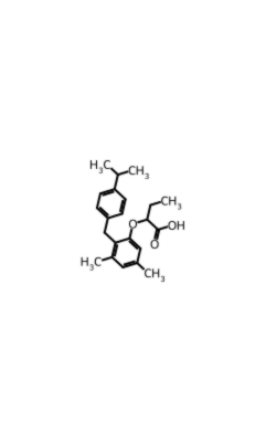 CCC(Oc1cc(C)cc(C)c1Cc1ccc(C(C)C)cc1)C(=O)O